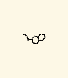 CN=Nc1ccc2ccccc2c1